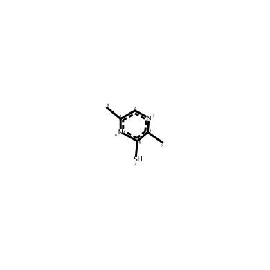 Cc1cnc(C)c(S)n1